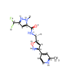 C[C@@H](NC(=O)c1cc(C(F)F)nn1C)c1cc(-c2ccnc(C(F)(F)F)c2)no1